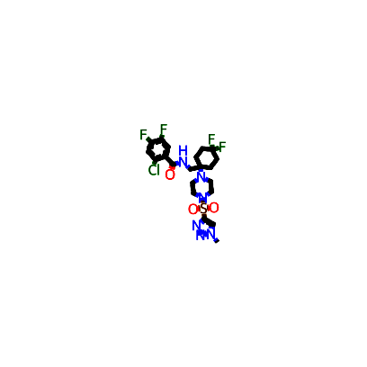 Cn1cc(S(=O)(=O)N2CCN(C3(CNC(=O)c4cc(F)c(F)cc4Cl)CCC(F)(F)CC3)CC2)nn1